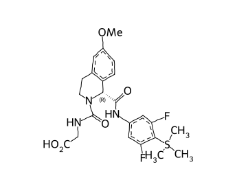 COc1ccc2c(c1)CCN(C(=O)NCC(=O)O)[C@H]2C(=O)Nc1cc(F)c(S(C)(C)C)c(F)c1